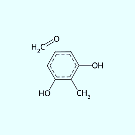 C=O.Cc1c(O)cccc1O